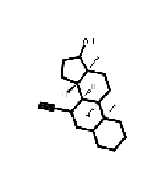 C#CC1CC2CCCC[C@]2(C)[C@@H]2CC[C@]3(C)C(O)CC[C@H]3[C@H]12